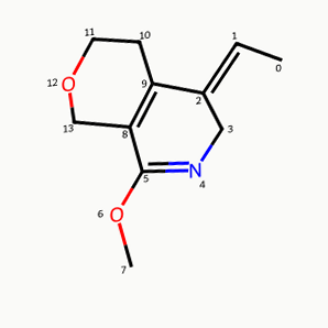 CC=C1CN=C(OC)C2=C1CCOC2